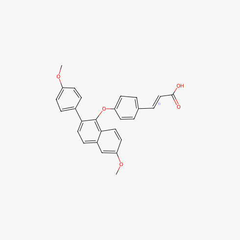 COc1ccc(-c2ccc3cc(OC)ccc3c2Oc2ccc(/C=C/C(=O)O)cc2)cc1